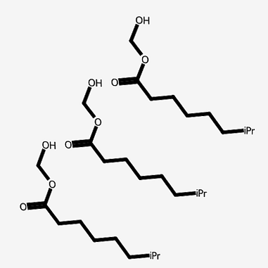 CC(C)CCCCCC(=O)OCO.CC(C)CCCCCC(=O)OCO.CC(C)CCCCCC(=O)OCO